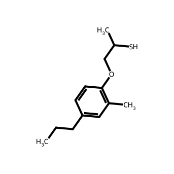 CCCc1ccc(OCC(C)S)c(C)c1